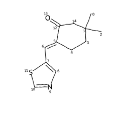 CC1(C)CC/C(=C\c2cncs2)C(=O)C1